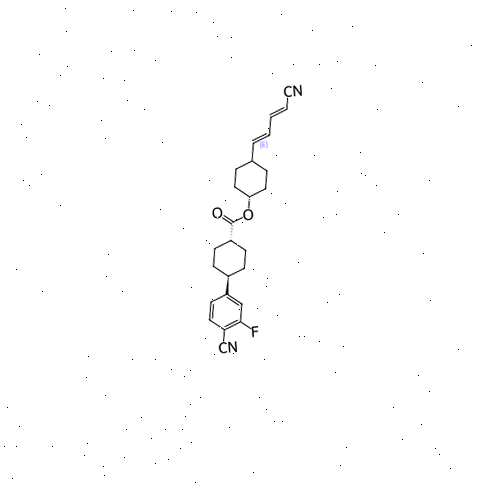 N#CC=C/C=C/C1CCC(OC(=O)[C@H]2CC[C@H](c3ccc(C#N)c(F)c3)CC2)CC1